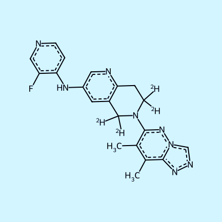 [2H]C1([2H])Cc2ncc(Nc3ccncc3F)cc2C([2H])([2H])N1c1nn2cnnc2c(C)c1C